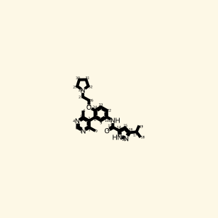 Cc1ncnc(C)c1-c1cc(NC(=O)c2cc(C(C)C)n[nH]2)ccc1OCCN1CCCC1